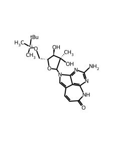 CC(C)(C)[Si](C)(C)OC[C@H]1OC(n2cc3c4c(nc(N)nc42)NC(=O)C=C3)[C@](C)(O)[C@@H]1O